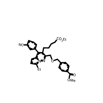 CCOC(=O)CCCCc1c(COCc2ccc(C(=O)OC)cc2)nn2c(CC)ccc2c1-c1cccc(C#N)c1